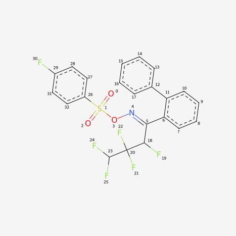 O=S(=O)(ON=C(c1ccccc1-c1ccccc1)C(F)C(F)(F)C(F)F)c1ccc(F)cc1